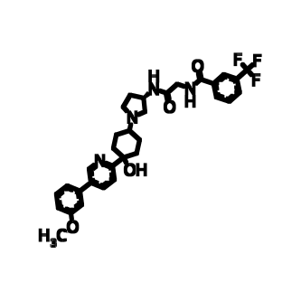 COc1cccc(-c2ccc(C3(O)CCC(N4CC[C@@H](NC(=O)CNC(=O)c5cccc(C(F)(F)F)c5)C4)CC3)nc2)c1